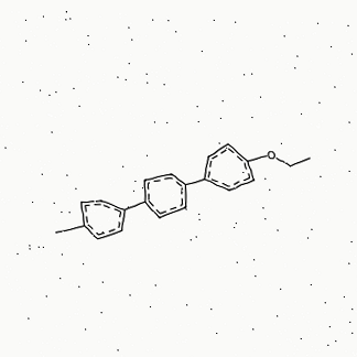 CCOc1ccc(-c2ccc(-c3ccc(C)cc3)cc2)cc1